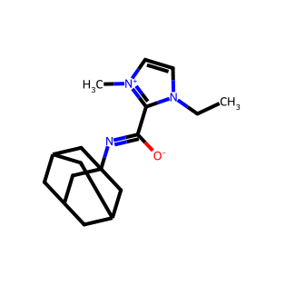 CCn1cc[n+](C)c1/C([O-])=N/C12CC3CC(CC(C3)C1)C2